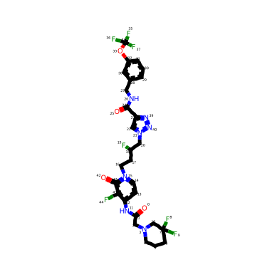 O=C(CN1CCCC(F)(F)C1)Nc1ccn(CCC(F)Cn2cc(C(=O)NCc3cccc(OC(F)(F)F)c3)nn2)c(=O)c1F